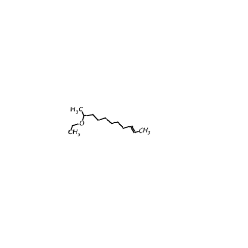 CC=CCCCCCCC(C)OCC